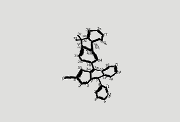 Cc1ccc2c(-c3cccnc3)c3ccccc3c(-c3ccc4c(c3)-c3ccccc3C4(C)C)c2c1